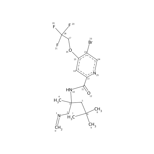 C=NCC(C)(CC(C)(C)C)NC(=O)c1cc(OCC(F)(F)F)c(Br)cn1